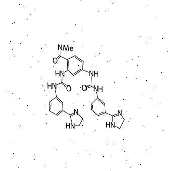 CNC(=O)c1ccc(NC(=O)Nc2cccc(C3=NCCN3)c2)cc1NC(=O)Nc1cccc(C2=NCCN2)c1